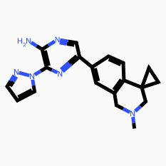 CN1Cc2cc(-c3cnc(N)c(-n4c[c]cn4)n3)ccc2C2(CC2)C1